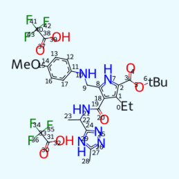 CCc1c(C(=O)OC(C)(C)C)[nH]c(CNc2ccc(OC)cc2)c1C(=O)NC(C)c1nnc(C)[nH]1.O=C(O)C(F)(F)F.O=C(O)C(F)(F)F